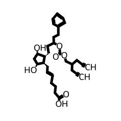 C#CCC(CC#C)COC(=O)OC(CCc1ccccc1)CC[C@@H]1[C@@H](CC=CCCCC(=O)O)[C@@H](O)C[C@H]1O